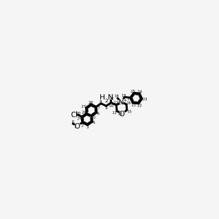 COc1ccc2cc(CCC(N)C3COCC[N+]3(C)Cc3ccccc3)ccc2c1Cl